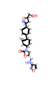 O=C1O[C@@H](CNc2ccon2)CN1c1ccc(-c2ccc(C3=NOC(CO)C3)cc2)c(F)c1